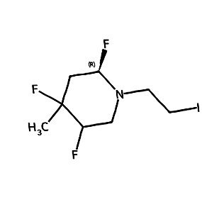 CC1(F)C[C@@H](F)N(CCI)CC1F